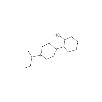 CCC(C)N1CCN(C2CCCCC2O)CC1